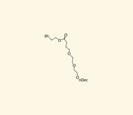 CCCCCCCCCCOCCOCCOCCCC(=O)OCCC(C)C